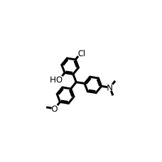 COc1ccc(C(c2ccc(N(C)C)cc2)c2cc(Cl)ccc2O)cc1